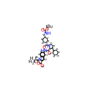 CC(C)(C)OC(=O)NC[C@H]1CC[C@H](C(=O)N2CC[C@@H](C3CCCCC3)[C@H]2C(=O)Nc2ccc3c(c2)cc2n3C(C)(C)OC2=O)CC1